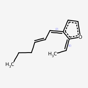 C/C=c1/occ/c1=C/C=CCCC